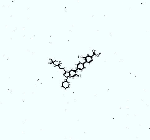 COC(=O)c1ccc(-c2ccc(-c3cc4c(CCC(=O)OC(C)(C)C)nn(C5CCCCO5)c4cc3Cl)cc2)c(O)c1